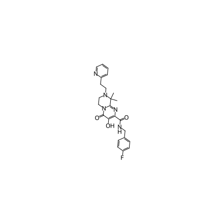 CC1(C)c2nc(C(=O)NCc3ccc(F)cc3)c(O)c(=O)n2CCN1CCc1ccccn1